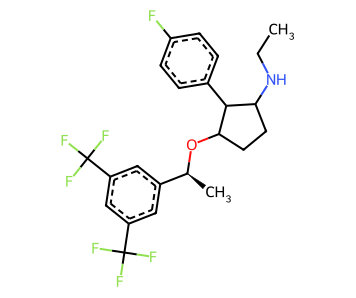 CCNC1CCC(O[C@@H](C)c2cc(C(F)(F)F)cc(C(F)(F)F)c2)C1c1ccc(F)cc1